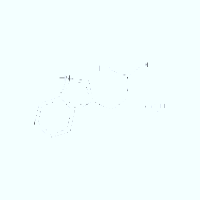 O=C(O)[C@H](Cc1c[nH]c2ccccc12)N(O)O